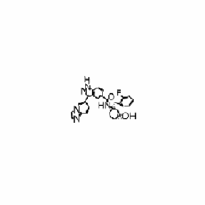 O=C(N[C@]1(Cc2ccccc2F)CCC[C@@H](O)C1)c1ccc2[nH]nc(-c3ccc4nccn4c3)c2c1